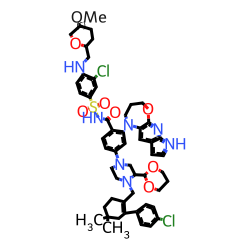 CO[C@H]1CCC(CNc2ccc(S(=O)(=O)NC(=O)c3ccc(N4CCN(CC5=C(c6ccc(Cl)cc6)CC(C)(C)CC5)C(C5OCCCO5)C4)cc3N3CCCOc4nc5[nH]ccc5cc43)cc2Cl)OC1